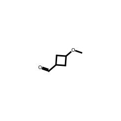 COC1CC([C]=O)C1